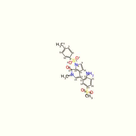 Cc1ccc(S(=O)(=O)n2ccc3c(-c4cc(S(C)(=O)=O)ccc4N)cn(C)c(=O)c32)cc1